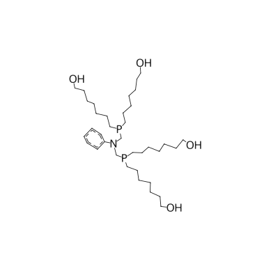 OCCCCCCCP(CCCCCCCO)CN(CP(CCCCCCCO)CCCCCCCO)c1ccccc1